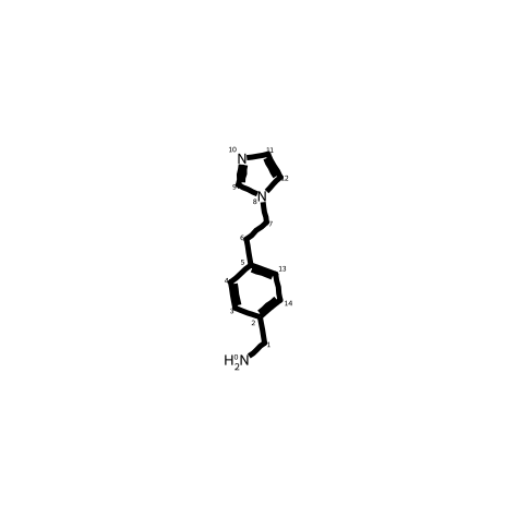 NCc1ccc(CCn2[c]ncc2)cc1